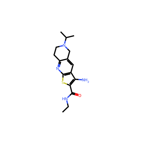 CCNC(=O)c1sc2nc3c(cc2c1N)CN(C(C)C)CC3